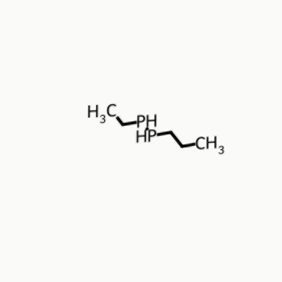 CCCPPCC